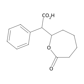 O=C1CCCCC(C(C(=O)O)c2ccccc2)O1